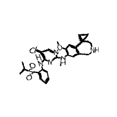 COc1cc2c(cc1Nc1ncc(Cl)c(Nc3ccccc3S(=O)(=O)C(C)C)n1)CNCC21CC1